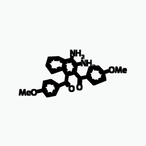 COc1ccc(C(=O)c2c(N)c(N)c3ccccc3c2C(=O)c2ccc(OC)cc2)cc1